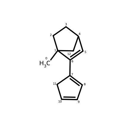 CC12CCC(C=C1C1=CC=CC1)C2